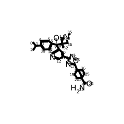 CC(C)c1ccc([C@](O)(c2cncc(-c3noc(C45CCC(C(N)=O)(CC4)CC5)n3)c2)C2(C)CN(C)C2)cc1